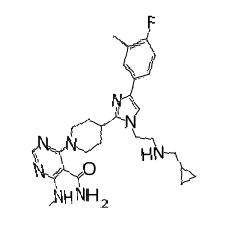 CNc1ncnc(N2CCC(c3nc(-c4ccc(F)c(C)c4)cn3CCNCC3CC3)CC2)c1C(N)=O